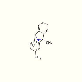 Cc1ccc2c(c1)C1(C)c3ccccc3C2N1C